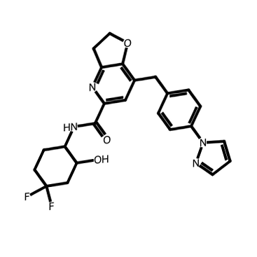 O=C(NC1CCC(F)(F)CC1O)c1cc(Cc2ccc(-n3cccn3)cc2)c2c(n1)CCO2